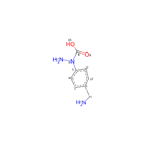 NCc1ccc(N(N)C(=O)O)cc1